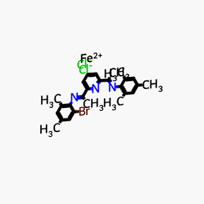 C/C(=N\c1c(C)cc(C)cc1C)c1cccc(/C(C)=N/c2c(C)cc(C)cc2Br)n1.[Cl-].[Cl-].[Fe+2]